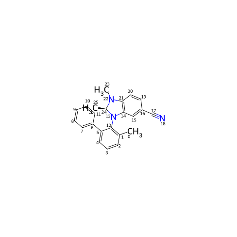 Cc1cccc(-c2ccccc2)c1N1c2cc(C#N)ccc2N(C)[C@@H]1C